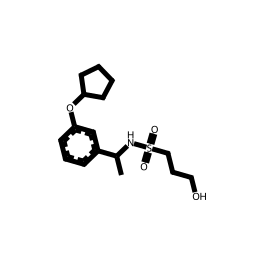 CC(NS(=O)(=O)CCCO)c1cccc(OC2CCCC2)c1